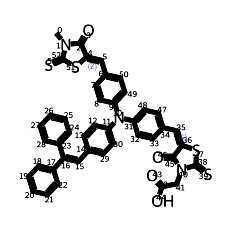 CN1C(=O)/C(=C/c2ccc(N(c3ccc(C=C(c4ccccc4)c4ccccc4)cc3)c3ccc(/C=C4/SC(=S)N(CC(=O)O)C4=O)cc3)cc2)SC1=S